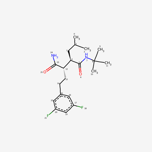 CC(C)C[C@@H](C(=O)NC(C)(C)C)[C@H](CCc1cc(F)cc(F)c1)C(N)=O